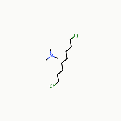 CN(C)C.ClCCCCCCCCCl